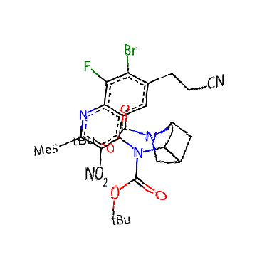 CSc1nc2c(F)c(Br)c(CCC#N)cc2c(N(C(=O)OC(C)(C)C)C2C3CC2N(C(=O)OC(C)(C)C)C3)c1[N+](=O)[O-]